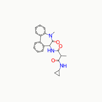 CC(C(=O)NC1CC1)C(=O)NC1C(=O)N(C)c2ccccc2-c2ccccc21